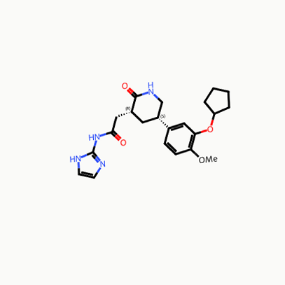 COc1ccc([C@H]2CNC(=O)[C@@H](CC(=O)Nc3ncc[nH]3)C2)cc1OC1CCCC1